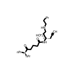 C#CC[C@H](NC(=O)CCCC(=O)N(CCC)CCC)[C@H](O)CNCCC(C)C